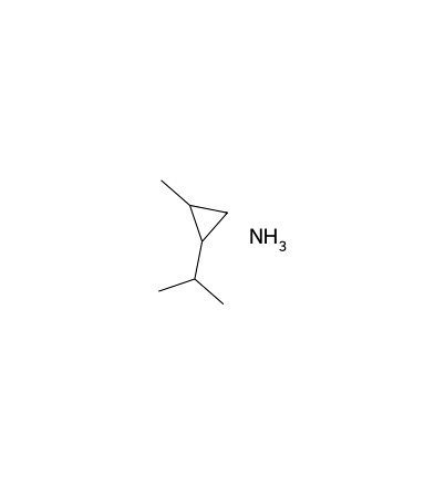 CC(C)C1CC1C.N